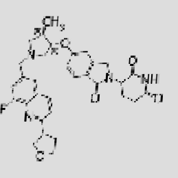 C[C@@H]1CN(Cc2cc(F)c3nc(C4CCOC4)ccc3c2)C[C@H]1Oc1ccc2c(c1)CN(C1CCC(=O)NC1=O)C2=O